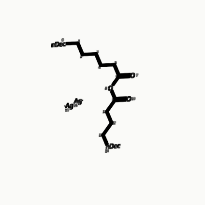 CCCCCCCCCCCCCCCC(=O)OC(=O)CCCCCCCCCCCCC.[Ag].[Ag]